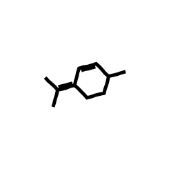 CC(C)=C1C=CC(C)CC1